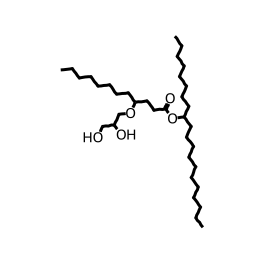 CCCCCCCCCCCC(CCCCCCCC)OC(=O)CCC(CCCCCCCC)OCC(O)CO